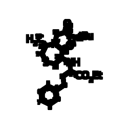 CCOC(=O)C(CCc1ccccc1)NC1CSCC(C)N(CC(=O)OC(C)(C)C)C1=O